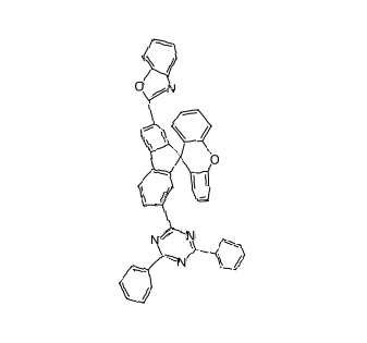 c1ccc(-c2nc(-c3ccccc3)nc(-c3ccc4c(c3)C3(c5ccccc5Oc5ccccc53)c3cc(-c5nc6ccccc6o5)ccc3-4)n2)cc1